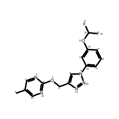 Cc1cnc(OCc2cn(-c3cccc(OC(F)F)c3)nn2)nc1